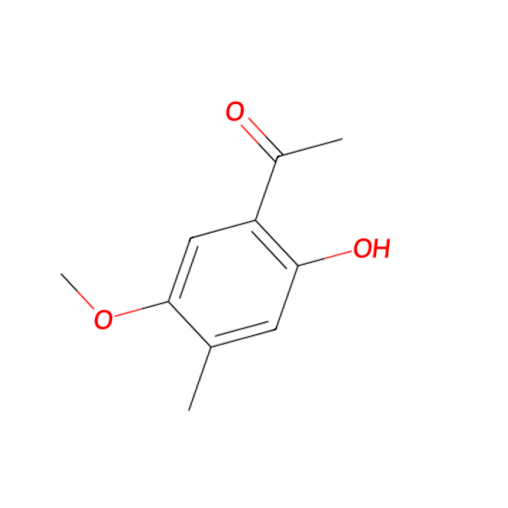 COc1cc(C(C)=O)c(O)cc1C